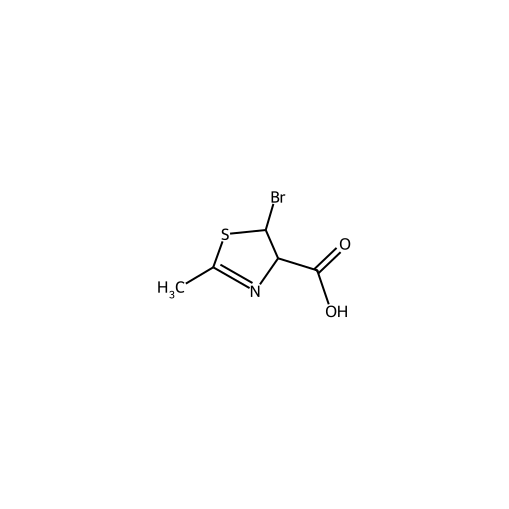 CC1=NC(C(=O)O)C(Br)S1